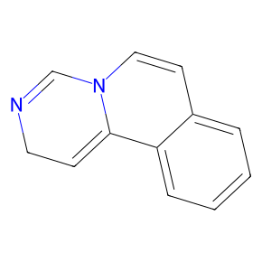 C1=CN2C=NCC=C2c2ccccc21